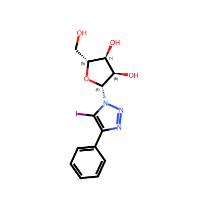 OC[C@H]1O[C@@H](n2nnc(-c3ccccc3)c2I)[C@H](O)[C@@H]1O